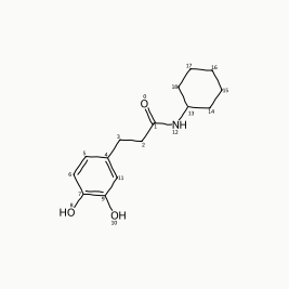 O=C(CCc1ccc(O)c(O)c1)NC1CCCCC1